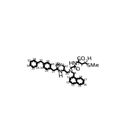 CSCCC(NC(=O)CN(Cc1cccc2ccccc12)CC(CC(C)C)NC(=O)Cc1ccc(Cc2ccccc2)cc1)C(=O)O